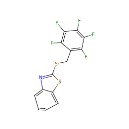 Fc1c(F)c(F)c(CSc2nc3ccccc3s2)c(F)c1F